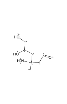 CC(N)(CC=O)CC(O)CO